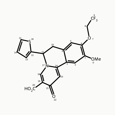 COc1cc2c(cc1OCC(F)(F)F)CC(c1cccs1)n1cc(C(=O)O)c(=O)cc1-2